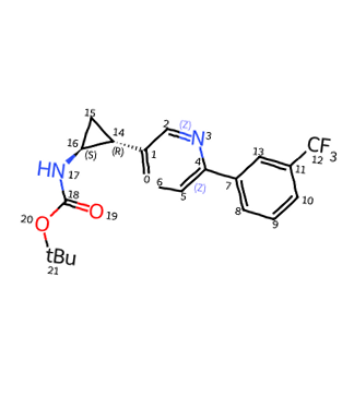 C=C(/C=N\C(=C/C)c1cccc(C(F)(F)F)c1)[C@H]1C[C@@H]1NC(=O)OC(C)(C)C